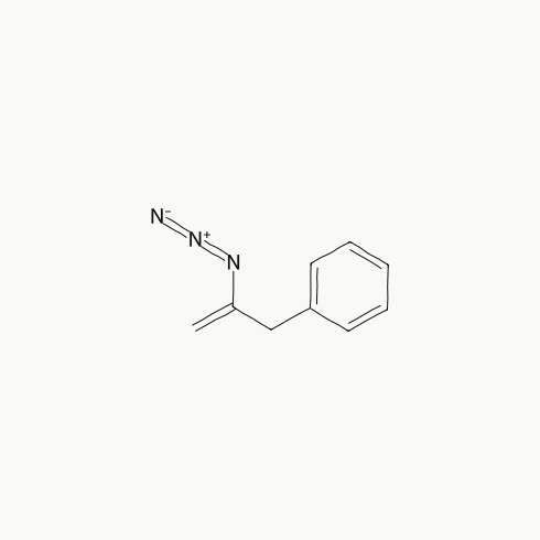 C=C(Cc1ccccc1)N=[N+]=[N-]